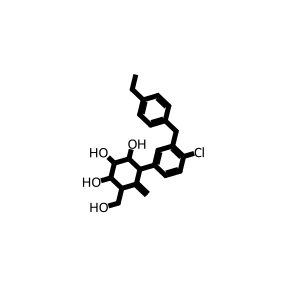 C=C1C(CO)C(O)C(O)C(O)C1c1ccc(Cl)c(Cc2ccc(CC)cc2)c1